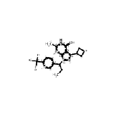 CCC(c1ccc(C(F)(F)F)nc1)n1nc(C2CCC2)c2c(=O)[nH]c(C)nc21